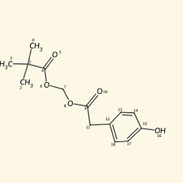 CC(C)(C)C(=O)OCOC(=O)Cc1ccc(O)cc1